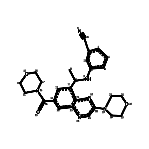 CC(Nc1cccc(C#N)c1)c1cc(C(=O)N2CCOCC2)cc2ncc(N3CCOCC3)nc12